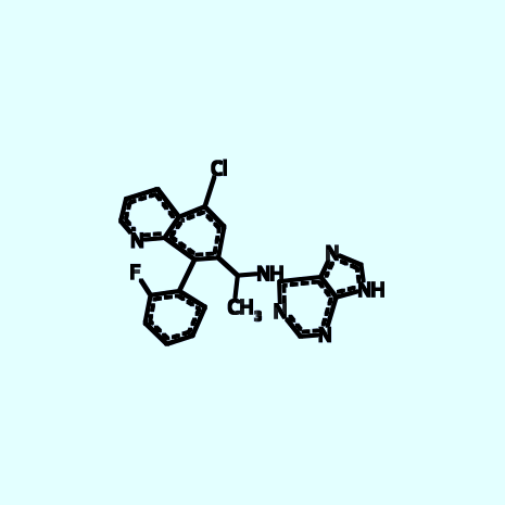 CC(Nc1ncnc2[nH]cnc12)c1cc(Cl)c2cccnc2c1-c1ccccc1F